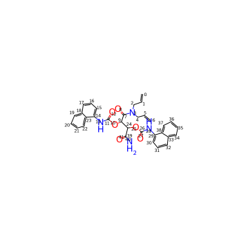 C=CCN(CC=C)C(=O)C(OC(=O)Nc1cccc2ccccc12)C(OC(=O)Nc1cccc2ccccc12)C(N)=O